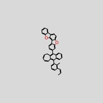 C/C=C\c1cccc(-c2c3c(c(-c4ccc5c(c4)oc4ccc6c7ccccc7oc6c45)c4ccccc24)CC=CC=C3)c1C